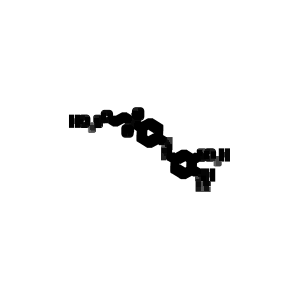 CCNc1ccc(N=Nc2ccc(S(=O)(=O)CCOS(=O)(=O)O)cc2)cc1S(=O)(=O)O